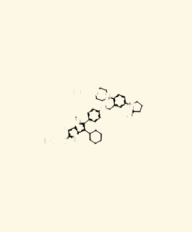 Cl.Cn1c(-c2ccc(OCc3cc(N4CCCC4=O)ccc3N3CCOCC3)cc2)c(C2CCCCC2)c2sc(C(=O)O)cc21